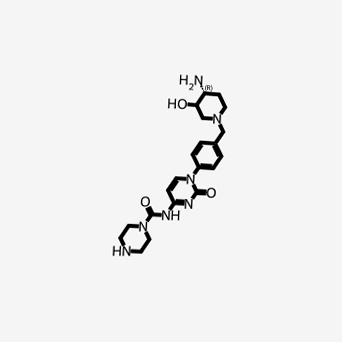 N[C@@H]1CCN(Cc2ccc(-n3ccc(NC(=O)N4CCNCC4)nc3=O)cc2)CC1O